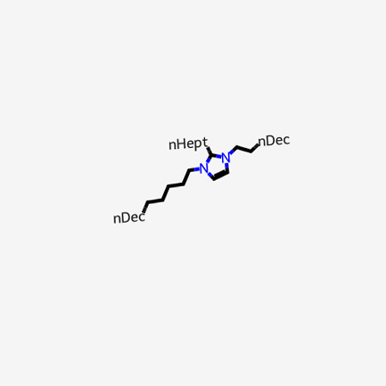 CCCCCCCCCCCCCCCN1C=CN(CCCCCCCCCCCC)C1CCCCCCC